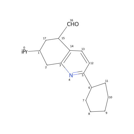 CC(C)C1Cc2nc(C3CCCCC3)ccc2C(C=O)C1